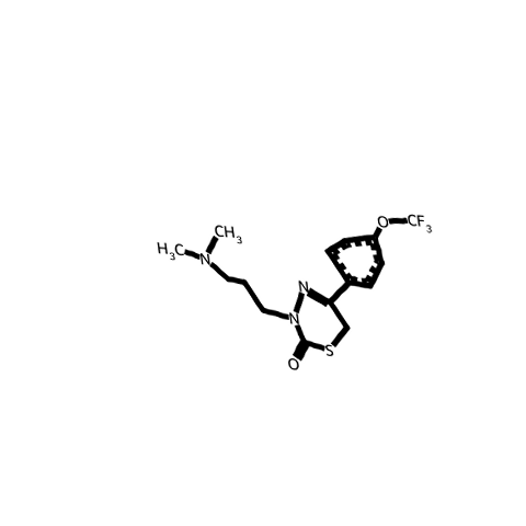 CN(C)CCCN1N=C(c2ccc(OC(F)(F)F)cc2)CSC1=O